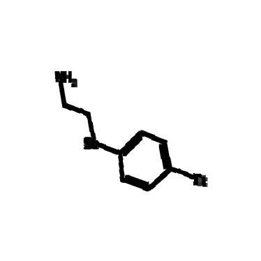 CCc1ccc([Se]CCN)cc1